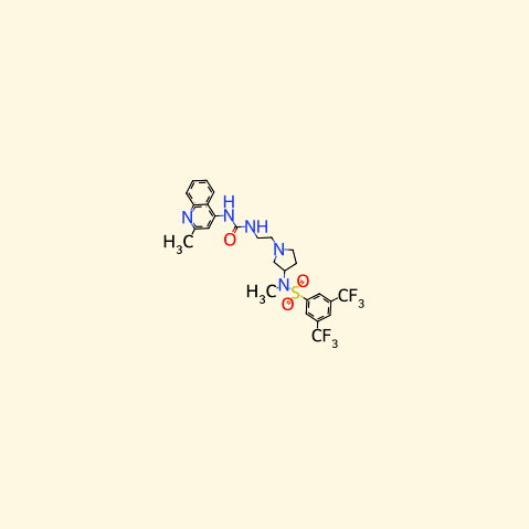 Cc1cc(NC(=O)NCCN2CCC(N(C)S(=O)(=O)c3cc(C(F)(F)F)cc(C(F)(F)F)c3)C2)c2ccccc2n1